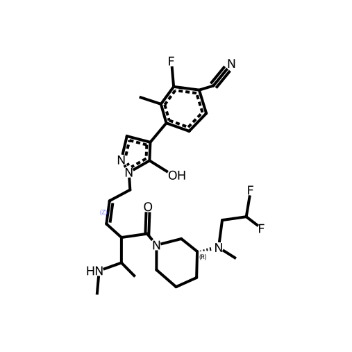 CNC(C)C(/C=C\Cn1ncc(-c2ccc(C#N)c(F)c2C)c1O)C(=O)N1CCC[C@@H](N(C)CC(F)F)C1